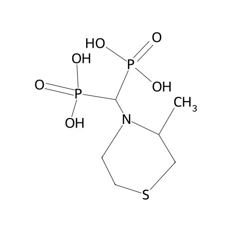 CC1CSCCN1C(P(=O)(O)O)P(=O)(O)O